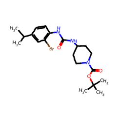 CC(C)c1ccc(NC(=O)NC2CCN(C(=O)OC(C)(C)C)CC2)c(Br)c1